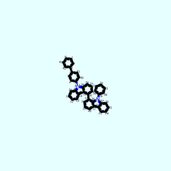 c1ccc(-c2ccc(-n3c4ccccc4c4c(-c5cccc6c7ccccc7n(-c7ccccc7)c56)cccc43)cc2)cc1